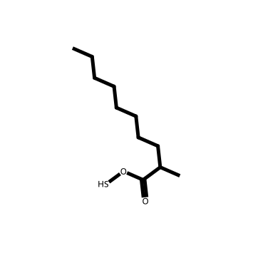 CCCCCCCCC(C)C(=O)OS